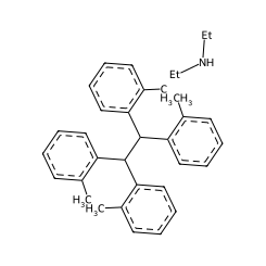 CCNCC.Cc1ccccc1C(c1ccccc1C)C(c1ccccc1C)c1ccccc1C